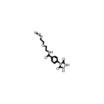 [N-]=[N+]=NCCOCCNC(=O)c1ccc(-n2c(=O)[nH][nH]c2=O)cc1